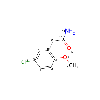 COc1ccc(Cl)cc1CC(N)=O